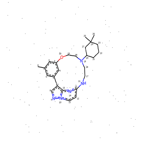 Cc1cc2cc(c1)-c1cnn3ccc(nc13)NCCN(C1CCCC(C)(C)C1)CCO2